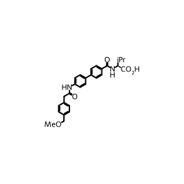 COCc1ccc(CC(=O)Nc2ccc(-c3ccc(C(=O)N[C@H](C(=O)O)C(C)C)cc3)cc2)cc1